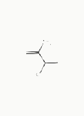 C=C(N)C(C)Cl